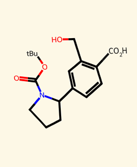 CC(C)(C)OC(=O)N1CCCC1c1ccc(C(=O)O)c(CO)c1